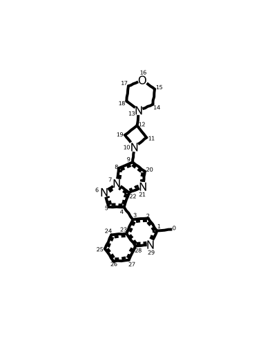 Cc1cc(-c2cnn3cc(N4CC(N5CCOCC5)C4)cnc23)c2ccccc2n1